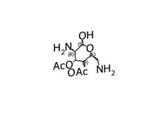 CC(=O)OC1[C@@H](N)[C@@H](O)O[C@@H](CN)[C@H]1OC(C)=O